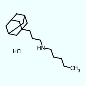 CCCCCNCCCC12CC3CC(CC(C3)C1)C2.Cl